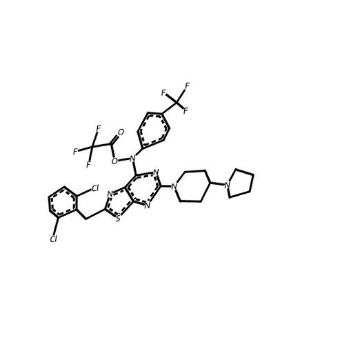 O=C(ON(c1ccc(C(F)(F)F)cc1)c1nc(N2CCC(N3CCCC3)CC2)nc2sc(Cc3c(Cl)cccc3Cl)nc12)C(F)(F)F